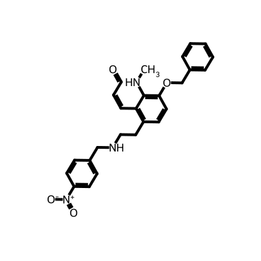 CNc1c(OCc2ccccc2)ccc(CCNCc2ccc([N+](=O)[O-])cc2)c1/C=C\C=O